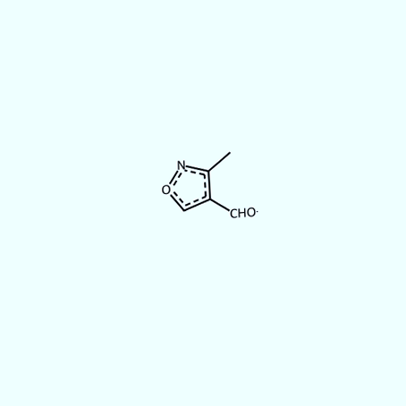 Cc1nocc1[C]=O